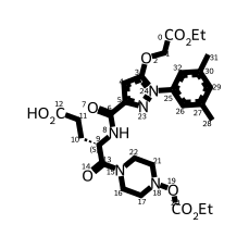 CCOC(=O)COc1cc(C(=O)N[C@@H](CCC(=O)O)C(=O)N2CCN(OC(=O)OCC)CC2)nn1-c1cc(C)cc(C)c1